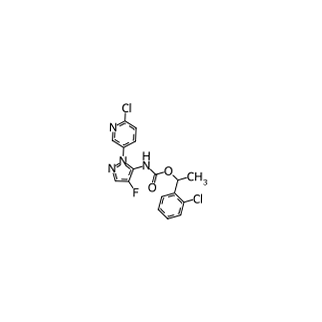 CC(OC(=O)Nc1c(F)cnn1-c1ccc(Cl)nc1)c1ccccc1Cl